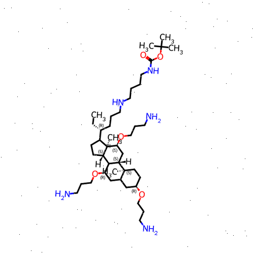 CC[C@H](CCCNCCCCNC(=O)OC(C)(C)C)C1CC[C@H]2C3[C@H](OCCCN)CC4C[C@H](OCCCN)CC[C@]4(C)[C@H]3C[C@H](OCCCN)[C@]12C